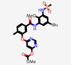 COC(=O)Oc1cc(Oc2cc(C(=O)Nc3cc(C(C)(C)C)cc(NS(C)(=O)=O)c3OC)ccc2C)ncn1